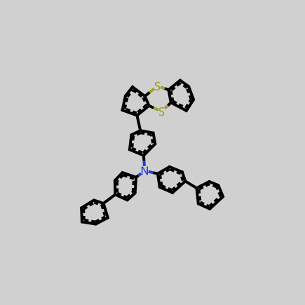 c1ccc(-c2ccc(N(c3ccc(-c4ccccc4)cc3)c3ccc(-c4cccc5c4Sc4ccccc4S5)cc3)cc2)cc1